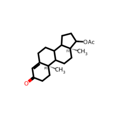 CC(=O)OC1CCC2C3CCC4=CC(=O)CC[C@]4(C)C3CC[C@]12C